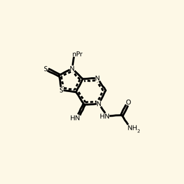 CCCn1c(=S)sc2c(=N)n(NC(N)=O)cnc21